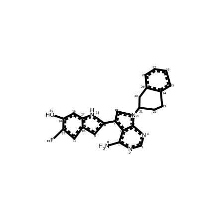 Nc1ncnc2c1c(-c1cc3cc(F)c(O)cc3[nH]1)cn2C1CCc2ccccc2C1